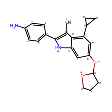 N#Cc1c(-c2ccc(N)cc2)[nH]c2cc(OC3CCCO3)cc(C3CC3)c12